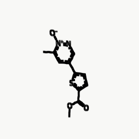 COC(=O)c1ccc(-c2cn[n+]([O-])c(C)c2)s1